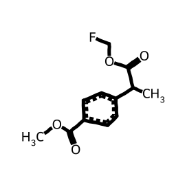 COC(=O)c1ccc(C(C)C(=O)OCF)cc1